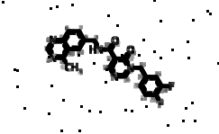 Cc1ncnc2ccc(CNC(=O)c3cncn(Cc4ccc(F)c(F)c4)c3=O)cc12